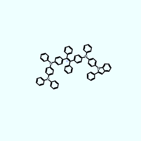 c1ccc(/C(=C(/c2ccccc2)c2ccc(N(c3ccccc3)c3ccc(-n4c(-c5ccccc5)cc5ccccc54)cc3)cc2)c2ccc(N(c3ccccc3)c3ccc(N(c4ccccc4)c4ccccc4)cc3)cc2)cc1